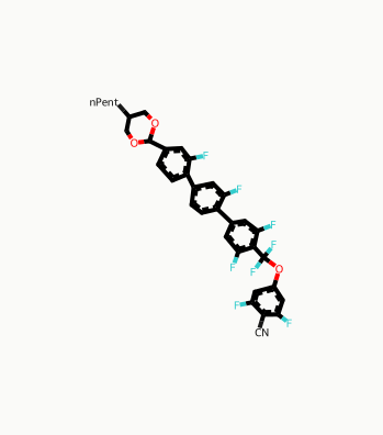 CCCCCC1COC(c2ccc(-c3ccc(-c4cc(F)c(C(F)(F)Oc5cc(F)c(C#N)c(F)c5)c(F)c4)c(F)c3)c(F)c2)OC1